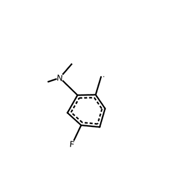 [CH2]c1ccc(F)cc1N(C)C